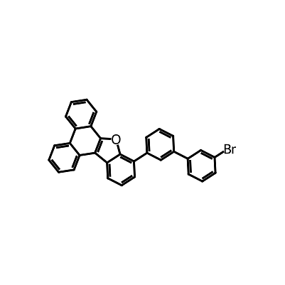 Brc1cccc(-c2cccc(-c3cccc4c3oc3c5ccccc5c5ccccc5c43)c2)c1